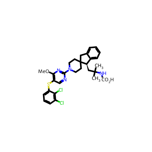 COc1nc(N2CCC3(CC2)Cc2ccccc2[C@H]3CC(C)(C)NC(=O)O)ncc1Sc1cccc(Cl)c1Cl